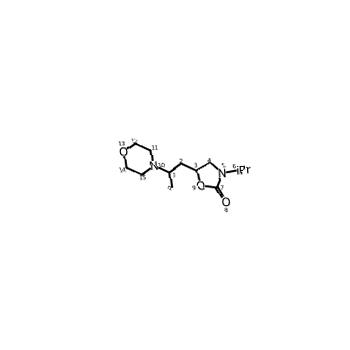 CC(CC1CN(C(C)C)C(=O)O1)N1CCOCC1